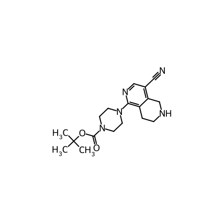 CC(C)(C)OC(=O)N1CCN(c2ncc(C#N)c3c2CCNC3)CC1